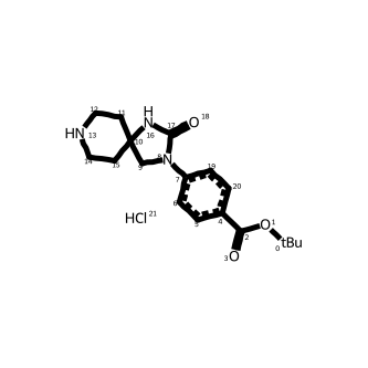 CC(C)(C)OC(=O)c1ccc(N2CC3(CCNCC3)NC2=O)cc1.Cl